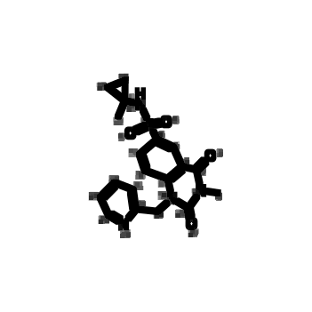 Cn1c(=O)c2cc(S(=O)(=O)NC3(C)CC3)ccc2n(Cc2ccccn2)c1=O